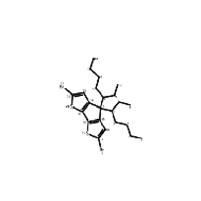 CCCCC(CC)C1(C(CC)CCCC)c2cc(Br)sc2-c2sc(Br)cc21